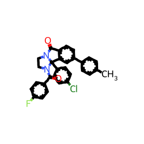 Cc1ccc(-c2ccc3c(c2)C2(c4ccc(Cl)cc4)N(C(=O)c4ccc(F)cc4)CCN2C3=O)cc1